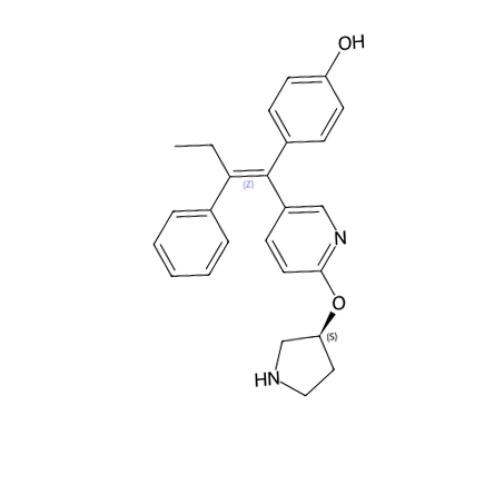 CC/C(=C(\c1ccc(O)cc1)c1ccc(O[C@H]2CCNC2)nc1)c1ccccc1